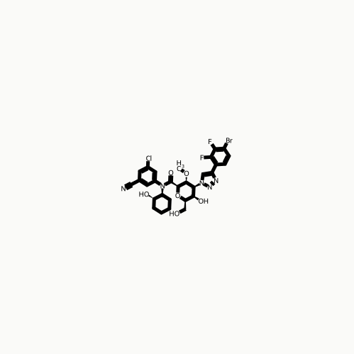 CO[C@@H]1[C@@H](n2cc(-c3ccc(Br)c(F)c3F)nn2)[C@@H](O)[C@@H](CO)O[C@H]1C(=O)N(c1cc(Cl)cc(C#N)c1)[C@H]1CCCC[C@@H]1O